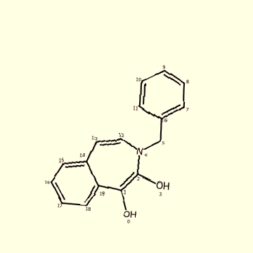 OC1=C(O)N(Cc2ccccc2)C=Cc2ccccc21